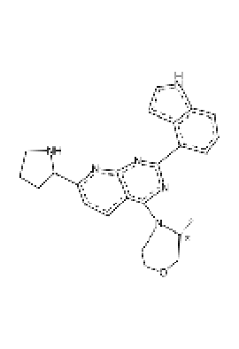 C[C@@H]1COCCN1c1nc(-c2cccc3[nH]ccc23)nc2nc(C3CCCN3)ccc12